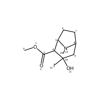 COC(=O)C1C2CCC(CC1(O)I)N2C